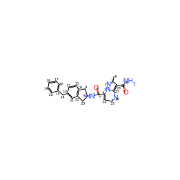 Cc1nn2c(C(=O)NC3Cc4ccc(Cc5ccccc5)cc4C3)ccnc2c1C(N)=O